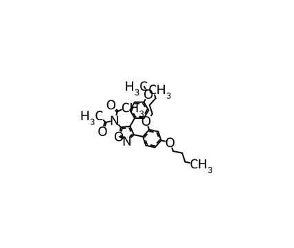 CCCCOc1ccc(-c2noc(N(C(C)=O)C(C)=O)c2-c2ccc(OC)cc2)c(OCCCC)c1